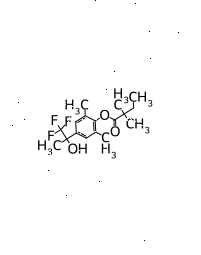 CCC(C)(C)C(=O)Oc1c(C)cc(C(C)(O)C(F)(F)F)cc1C